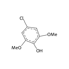 COc1cc(Cl)cc(OC)c1O